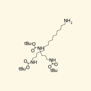 CC(C)(C)OC(=O)NCCCC(CCCCCCCCCCCN)(CCCNC(=O)OC(C)(C)C)NC(=O)OC(C)(C)C